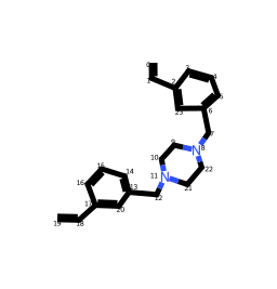 C=Cc1cccc(CN2CCN(Cc3cccc(C=C)c3)CC2)c1